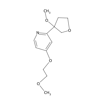 COCCOc1ccnc(C2(OC)CCOC2)c1